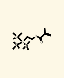 C=C(C)C(=O)OCC[Si]([Si](C)(C)C)([Si](C)(C)C)[Si](C)(C)C